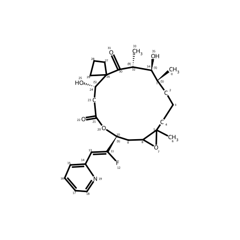 C[C@H]1CCCC2(C)OC2C[C@@H](C(F)=Cc2ccccn2)OC(=O)C[C@H](O)C2(CCC2)C(=O)[C@H](C)[C@H]1O